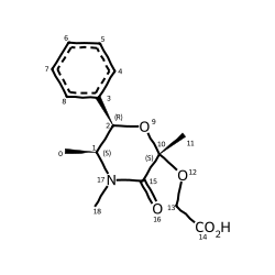 C[C@H]1[C@@H](c2ccccc2)O[C@](C)(OCC(=O)O)C(=O)N1C